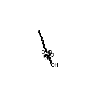 CCCCCCCCCCCC(=O)NC(CC)C(CCCCO)(C(=O)[O-])[N+](C)(C)C